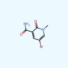 Cn1cc(Br)cc(C(N)=O)c1=O